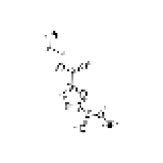 CC(C)CCOC(=O)c1ccc(C(=O)OC(C)C)o1